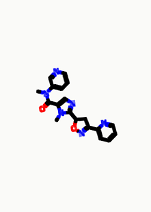 CN(C(=O)c1cnc(C2CC(c3ccccn3)=NO2)n1C)c1cccnc1